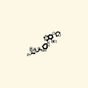 CCOc1cc(O[C@@H]2CCOC2)cc2ncnc(Nc3ccc(NC(=O)CN(N)/C=C(\N)C(C)C)cc3)c12